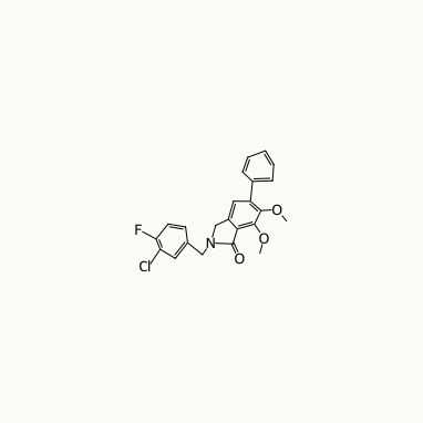 COc1c(-c2ccccc2)cc2c(c1OC)C(=O)N(Cc1ccc(F)c(Cl)c1)C2